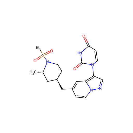 CCS(=O)(=O)N1CC[C@@H](Cc2ccn3ncc(-n4ccc(=O)[nH]c4=O)c3c2)C[C@@H]1C